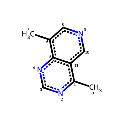 Cc1ncnc2c(C)cncc12